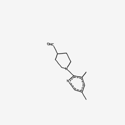 Cc1cnc(N2CCC(C=O)CC2)c(C)c1